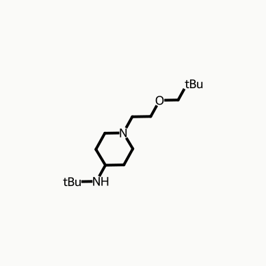 CC(C)(C)COCCN1CCC(NC(C)(C)C)CC1